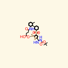 CSc1sc(C(=N)NC(=O)OC(C)(C)C)cc1S(=O)(=O)c1cccc(-c2c(C)cccc2NC(=O)CCC(=O)O)c1